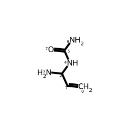 C=CC(N)NC(N)=O